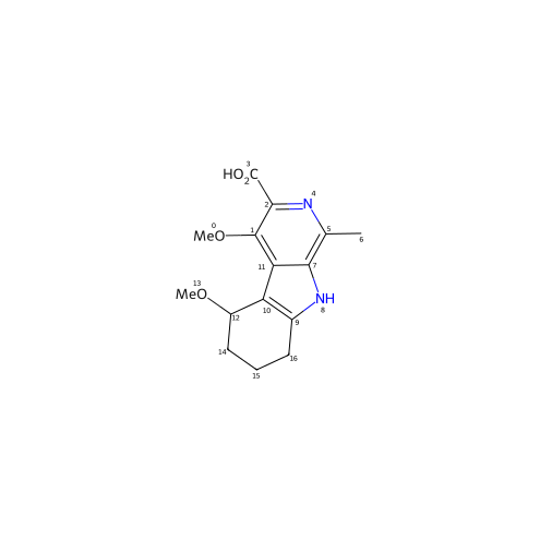 COc1c(C(=O)O)nc(C)c2[nH]c3c(c12)C(OC)CCC3